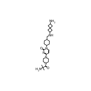 CC(C)(N)C(=O)N1CCN(c2ccn(C3CCC(CNC4CC5(CC(N)C5)C4)CC3)c(=O)n2)CC1